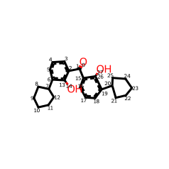 O=C(c1cccc(C2CCCCC2)c1O)c1cccc(C2CCCCC2)c1O